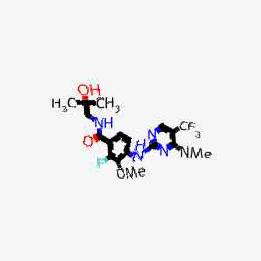 CNc1nc(Nc2ccc(C(=O)NCC(C)(C)O)c(F)c2OC)ncc1C(F)(F)F